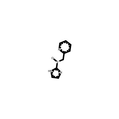 [O-][S+](Cc1ccccn1)c1ncc[nH]1